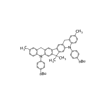 CCCCc1ccc(N2c3ccc(C)cc3Cc3cc4c(cc32)C(C)(C)c2cc3c(cc2-4)Cc2cc(C)ccc2N3c2ccc(CCCC)cc2)cc1